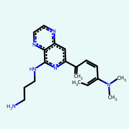 C=C(/C=C\C(=C/C)N(C)C)c1cc2nccnc2c(NCCCN)n1